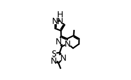 CC1=CCCn2c(-c3nc(C)ns3)nc(-c3cn[nH]c3)c21